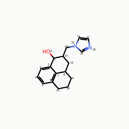 OC1c2cccc3c2C(CCC3)CC1Cn1ccnc1